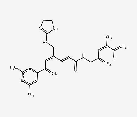 C=C(/C=C(/C)C(=C)Cl)CNC(=O)/C=C/C(=C\C(=C)c1cc(C)nc(C)c1)CNC1=NCCN1